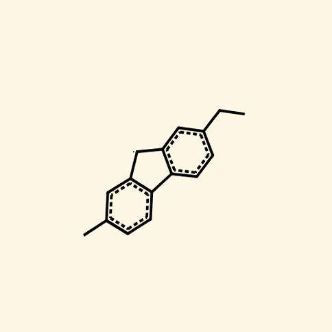 CCc1ccc2c(c1)[CH]c1cc(C)ccc1-2